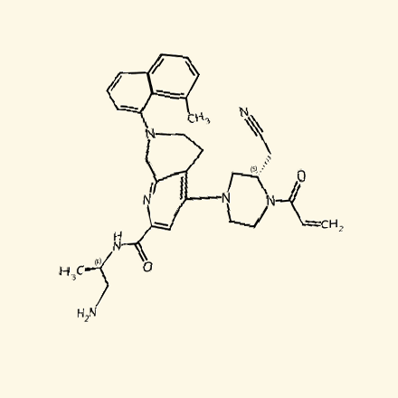 C=CC(=O)N1CCN(c2cc(C(=O)N[C@H](C)CN)nc3c2CCN(c2cccc4cccc(C)c24)C3)C[C@@H]1CC#N